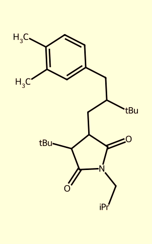 Cc1ccc(CC(CC2C(=O)N(CC(C)C)C(=O)C2C(C)(C)C)C(C)(C)C)cc1C